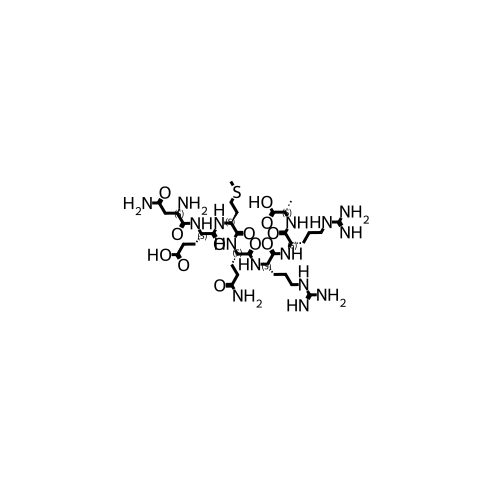 CSCC[C@H](NC(=O)[C@H](CCC(=O)O)NC(=O)[C@@H](N)CC(N)=O)C(=O)N[C@@H](CCC(N)=O)C(=O)N[C@@H](CCCNC(=N)N)C(=O)N[C@@H](CCCNC(=N)N)C(=O)N[C@@H](C)C(=O)O